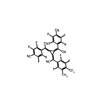 Cc1c(F)c(/C(C#N)=C2/C(=C(C#N)c3c(F)c(F)c(C#N)c(F)c3F)/C2=C(/C#N)c2c(F)c(F)c(C#N)c(F)c2F)c(F)c(F)c1C(F)(F)F